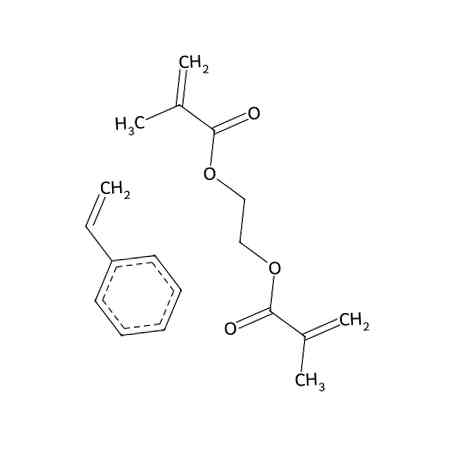 C=C(C)C(=O)OCCOC(=O)C(=C)C.C=Cc1ccccc1